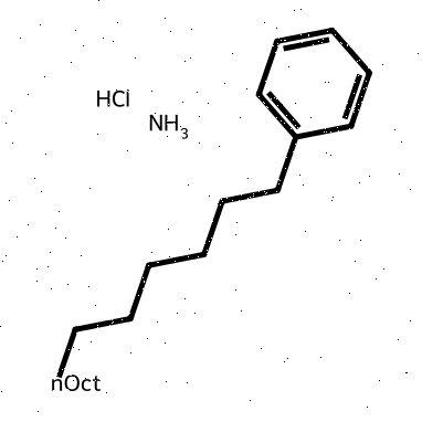 CCCCCCCCCCCCCCc1ccccc1.Cl.N